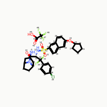 NC1CC2CCC(C1)N2C(=O)[C@H](NS(=O)(=O)c1ccc2cc(OC3CCCC3)ccc2c1)C(F)(F)c1ccc(Cl)cc1.O=C(O)C(F)(F)F